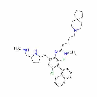 C=N/C(CCCCN1CCC2(CCCC2)CC1)=N\c1c(CC2CCC(CNC)N2)cc(Cl)c(-c2cccc3ccccc23)c1F